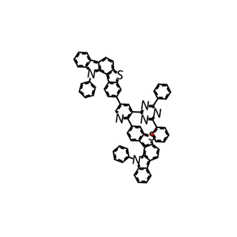 c1ccc(-c2nc(-c3ccccc3)nc(-c3cc(-c4ccc5c(c4)sc4ccc6c7ccccc7n(-c7ccccc7)c6c45)cnc3-c3ccc4c(c3)sc3ccc5c6ccccc6n(-c6ccccc6)c5c34)n2)cc1